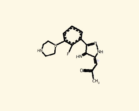 CC(=O)/C=C1/NN=C(c2cccc(N3CCNCC3)c2F)C1=N